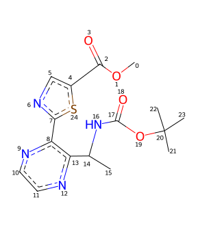 COC(=O)c1cnc(-c2nccnc2C(C)NC(=O)OC(C)(C)C)s1